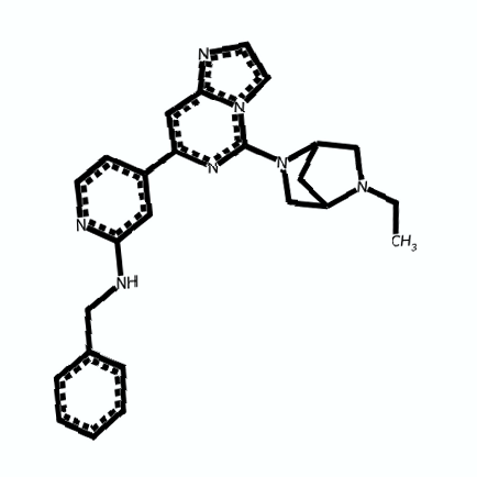 CCN1CC2CC1CN2c1nc(-c2ccnc(NCc3ccccc3)c2)cc2nccn12